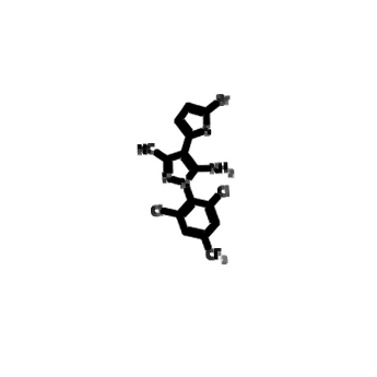 N#Cc1nn(-c2c(Cl)cc(C(F)(F)F)cc2Cl)c(N)c1-c1ccc(Br)s1